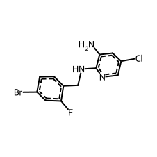 Nc1cc(Cl)cnc1NCc1ccc(Br)cc1F